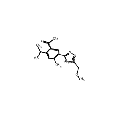 COCc1nnc(-c2cc(C(=O)O)c(C(C)C)cc2C)[nH]1